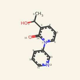 CC(O)c1cccn(-c2cccnc2)c1=O